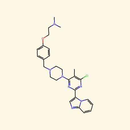 Cc1c(Cl)nc(-c2cnc3ccccn23)nc1N1CCN(Cc2ccc(OCCN(C)C)cc2)CC1